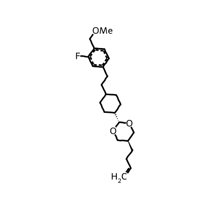 C=CCC[C@H]1CO[C@H](C2CCC(CCc3ccc(COC)c(F)c3)CC2)OC1